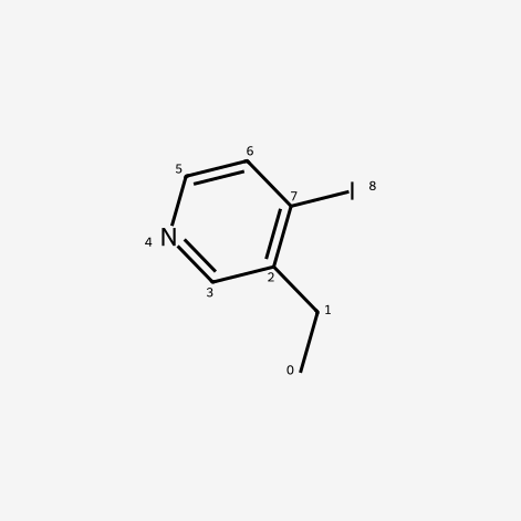 CCc1cnccc1I